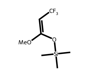 CO/C(=C/C(F)(F)F)O[Si](C)(C)C